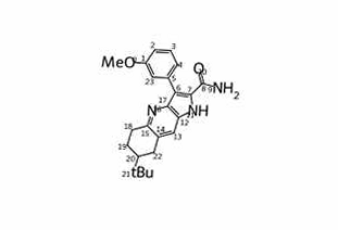 COc1cccc(-c2c(C(N)=O)[nH]c3cc4c(nc23)CCC(C(C)(C)C)C4)c1